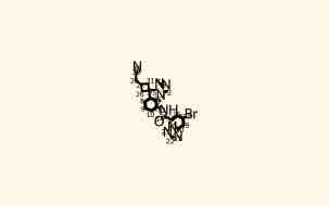 Cn1cnnc1C1(c2cccc(NC(=O)c3cc(Br)cc4ncnn34)c2)CC(CC#N)C1